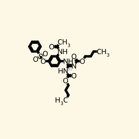 CCCCOC(=O)/N=C(/NC(=O)OCCCC)Nc1ccc(OS(=O)(=O)c2ccccc2)cc1NC(C)=O